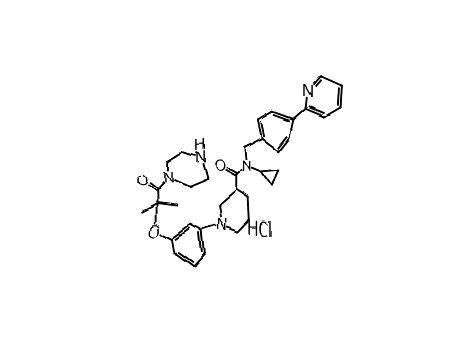 CC(C)(Oc1cccc(N2CCCC(C(=O)N(Cc3ccc(-c4ccccn4)cc3)C3CC3)C2)c1)C(=O)N1CCNCC1.Cl